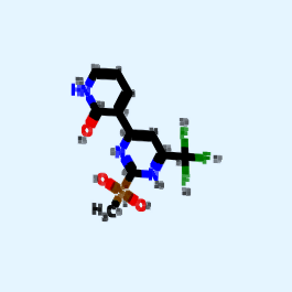 CS(=O)(=O)c1nc(-c2ccc[nH]c2=O)cc(C(F)(F)F)n1